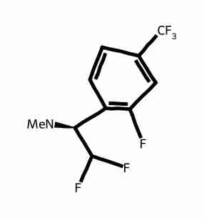 CN[C@@H](c1ccc(C(F)(F)F)cc1F)C(F)F